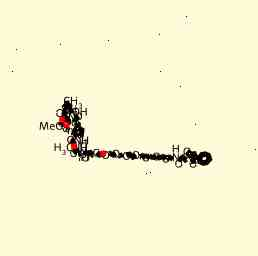 CCCOc1cc2c(cc1OC)C(=O)N1C=C(C)C[C@H]1[C@H](O)N2C(=O)OCc1ccc(NC(=O)[C@H](C)NC(=O)[C@@H](NC(=O)CCOCCOCCOCCOCCOCCOCCOCCOCCNC(=O)CCN2C(=O)CC(C3=C/C=C\C=C/C=C\3)C2=O)C(C)C)cc1